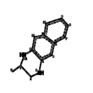 CC1CNc2cc3ccccc3cc2N1